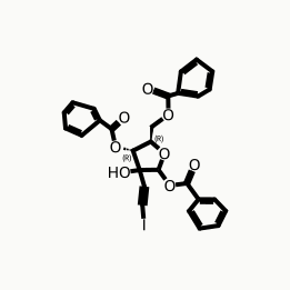 O=C(OC[C@H]1OC(OC(=O)c2ccccc2)C(O)(C#CI)[C@@H]1OC(=O)c1ccccc1)c1ccccc1